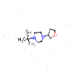 CC(C)(C)N1CCN(C2CCOC2)CC1